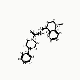 CN1CC/C(=N/NC(=S)N2CCN(c3ccncc3)CC2)c2ncccc21